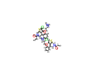 C=CC(=O)N1Cc2sc(Cl)cc2[C@@H](c2ccccc2OCCCN(C)c2cccc(OCCCN(C)C)c2[C@@H]2CN(C(=O)C=C)Cc3sc(Cl)cc32)C1